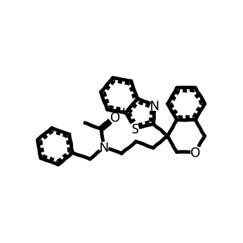 CC(=O)N(CCCC1(c2nc3ccccc3s2)COCc2ccccc21)Cc1ccccc1